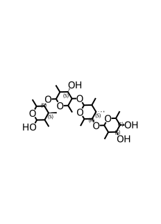 CC1OC(O[C@H]2C(C)OC(O)C(C)[C@@H]2C)C(C)[C@H](O)C1OC1OC(C)[C@H](OC2OC(C)[C@@H](O)[C@@H](O)C2C)[C@@H](C)C1C